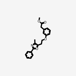 COC(=O)Cc1cccc(OCCc2oc(-c3ccccc3)nc2C)c1